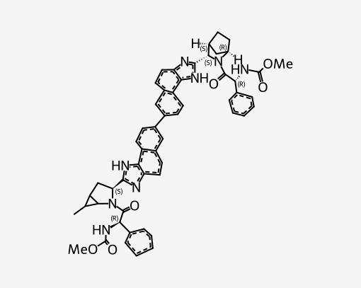 COC(=O)N[C@@H](C(=O)N1C2C(C)C2C[C@H]1c1nc2ccc3cc(-c4ccc5c(ccc6nc([C@@H]7[C@H]8CC[C@H](C8)N7C(=O)[C@H](NC(=O)OC)c7ccccc7)[nH]c65)c4)ccc3c2[nH]1)c1ccccc1